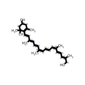 CC1=C(/C=C/C(C)=C/C=C/C(C)=C\C=C\C=C(C)/C=C/C=C(\C)CO)C(C)(C)CC(O)C1